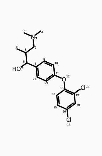 CC(CN(C)C)C(O)c1ccc(Oc2ccc(Cl)cc2Cl)cc1